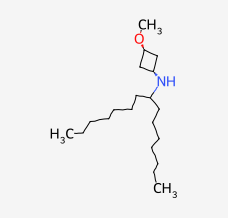 CCCCCCCC(CCCCCCC)N[C@H]1C[C@@H](OC)C1